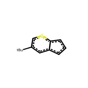 CC(C)(C)c1csc2cccc-2c1